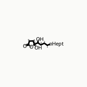 CCCCCCCCCCC(O)C1(O)CCC(=O)O1